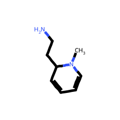 CN1C=CC=CC1CCN